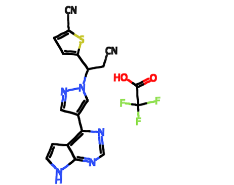 N#CCC(c1ccc(C#N)s1)n1cc(-c2ncnc3[nH]ccc23)cn1.O=C(O)C(F)(F)F